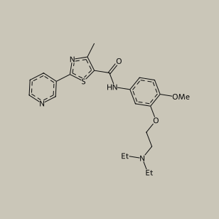 CCN(CC)CCOc1cc(NC(=O)c2sc(-c3cccnc3)nc2C)ccc1OC